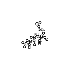 COc1ccc(C(=O)c2ccccc2)cc1.Cc1cc(C(=O)c2ccc(N(C)C)c(C)c2)ccc1N(C)C.Cc1ccc(Sc2ccc(C(=O)c3ccccc3)cc2)cc1.O=C(c1ccccc1)c1ccc(-c2ccccc2)cc1.O=C(c1ccccc1)c1ccc(Cl)cc1.O=C(c1ccccc1)c1ccccc1